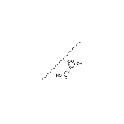 CCCCCCCCCCC(CO)CCCCCCCC.O=C(O)CSSCC(=O)O